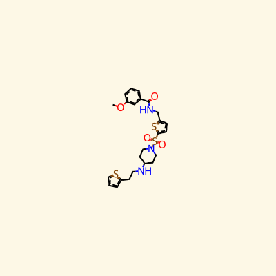 COc1cccc(C(=O)NCc2ccc(S(=O)(=O)N3CCC(NCCc4cccs4)CC3)s2)c1